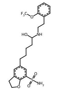 NS(=O)(=O)c1cc(CCCCC(O)NCCc2ccccc2OC(F)(F)F)cc2c1OCC2